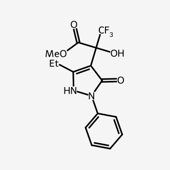 CCc1[nH]n(-c2ccccc2)c(=O)c1C(O)(C(=O)OC)C(F)(F)F